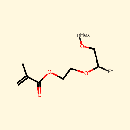 C=C(C)C(=O)OCCOC(CC)COCCCCCC